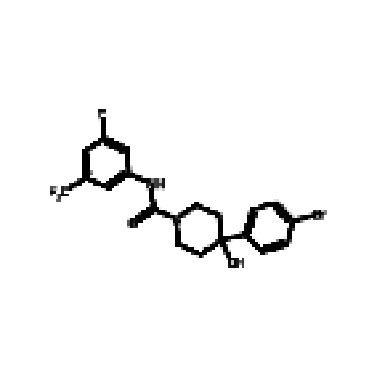 O=C(Nc1cc(F)cc(C(F)(F)F)c1)N1CCC(O)(c2ccc(Br)cc2)CC1